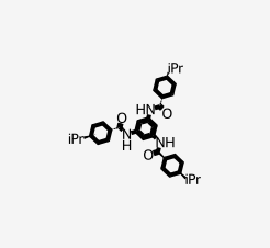 CC(C)[C@H]1CC[C@@H](C(=O)Nc2cc(NC(=O)[C@H]3CC[C@@H](C(C)C)CC3)cc(NC(=O)[C@H]3CC[C@H](C(C)C)CC3)c2)CC1